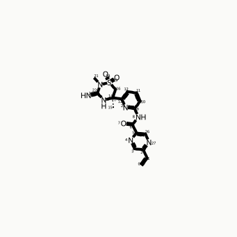 C=Cc1cnc(C(=O)Nc2cccc([C@]3(C)CS(=O)(=O)N(C)C(=N)N3)n2)cn1